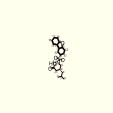 CC(C)C[C@H](CNS(=O)(=O)c1ccc2oc3ccccc3c2c1)CC(=O)O